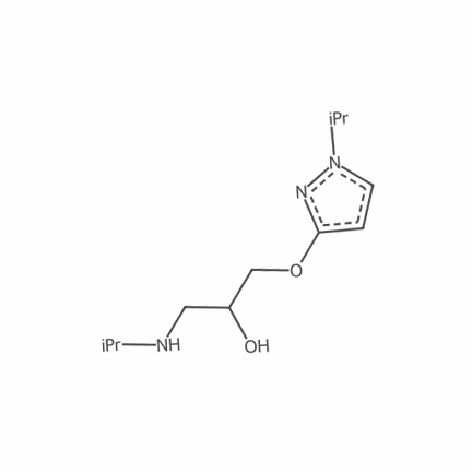 CC(C)NCC(O)COc1ccn(C(C)C)n1